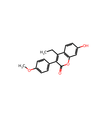 CCc1c(-c2ccc(OC)cc2)c(=O)oc2cc(O)ccc12